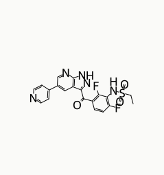 CCS(=O)(=O)Nc1c(F)ccc(C(=O)c2n[nH]c3ncc(-c4ccncc4)cc23)c1F